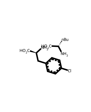 CCCC[C@H](N)C(=O)O.N[C@@H](Cc1ccc(Cl)cc1)C(=O)O